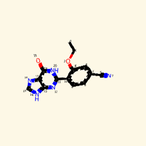 CCOc1cc(C#N)ccc1-c1nc2[nH]cnc2c(=O)[nH]1